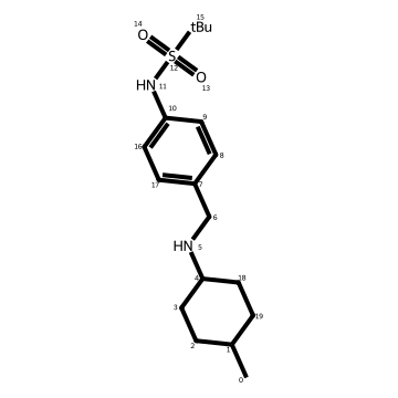 CC1CCC(NCc2ccc(NS(=O)(=O)C(C)(C)C)cc2)CC1